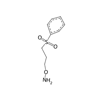 NOCCCS(=O)(=O)c1ccccc1